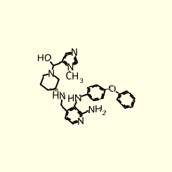 Cn1cncc1C(O)N1CCC[C@@H](NCc2ccnc(N)c2Nc2ccc(Oc3ccccc3)cc2)C1